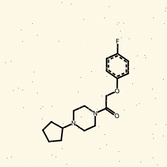 O=C(COc1ccc(F)cc1)N1CCN(C2CCCC2)CC1